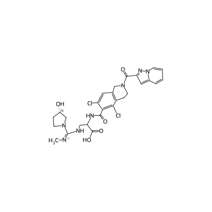 C/N=C(/NCC(NC(=O)c1c(Cl)cc2c(c1Cl)CCN(C(=O)c1cc3ccccn3n1)C2)C(=O)O)N1CC[C@H](O)C1